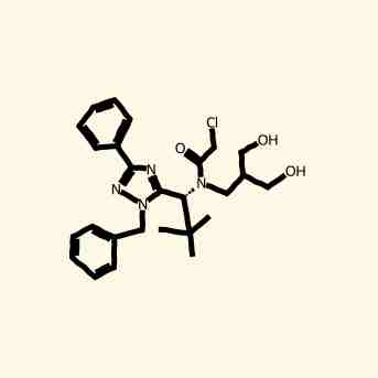 CC(C)(C)[C@H](c1nc(-c2ccccc2)nn1Cc1ccccc1)N(CC(CO)CO)C(=O)CCl